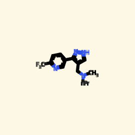 CCCN(C)Cc1c[nH]nc1-c1ccc(C(F)(F)F)nc1